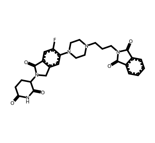 O=C1CCC(N2Cc3cc(N4CCN(CCCN5C(=O)c6ccccc6C5=O)CC4)c(F)cc3C2=O)C(=O)N1